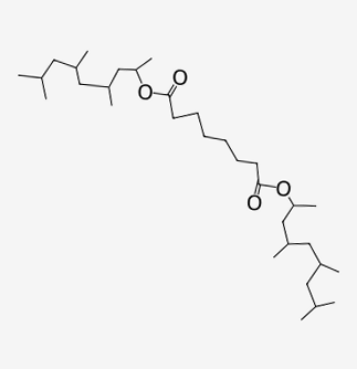 CC(C)CC(C)CC(C)CC(C)OC(=O)CCCCCCC(=O)OC(C)CC(C)CC(C)CC(C)C